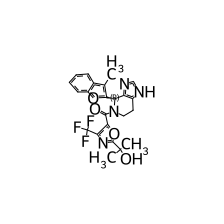 Cc1c([C@H]2c3nc[nH]c3CCN2C(=O)c2oc(C(C)(C)O)nc2C(F)(F)F)oc2ccccc12